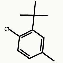 [CH2]c1ccc(Cl)c(C(C)(C)C)c1